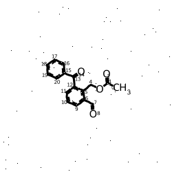 CC(=O)OCc1c(C=O)cccc1C(=O)c1ccccc1